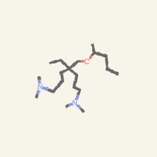 CCCC(C)OCC(CC)(CCCN(C)C)CCCN(C)C